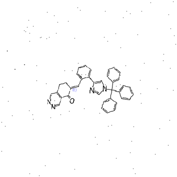 O=C1/C(=C/c2ccccc2-c2cn(C(c3ccccc3)(c3ccccc3)c3ccccc3)cn2)CCc2cnncc21